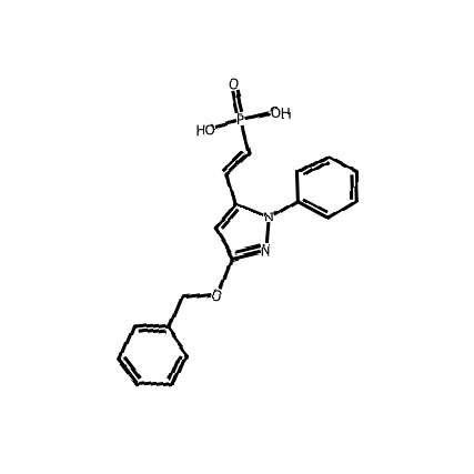 O=P(O)(O)C=Cc1cc(OCc2ccccc2)nn1-c1ccccc1